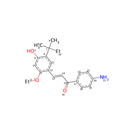 CCOc1cc(O)c(C(C)(C)CC)cc1C=CC(=O)c1ccc(N)cc1